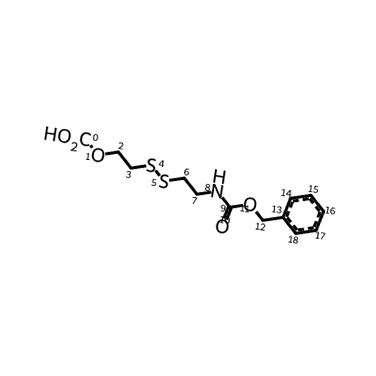 O=C(O)OCCSSCCNC(=O)OCc1ccccc1